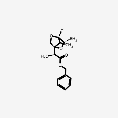 B[C@@H]1O[C@@]2([C@H](C)C(=O)OCc3ccccc3)CO[C@H]1C2C